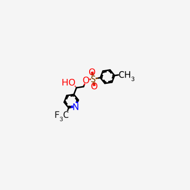 Cc1ccc(S(=O)(=O)OC[C@@H](O)c2ccc(C(F)(F)F)nc2)cc1